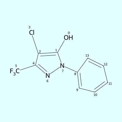 Oc1c(Cl)c(C(F)(F)F)nn1-c1ccccc1